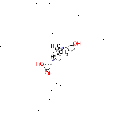 C[C@H](/C=C/c1cccc(O)c1)[C@H]1CC[C@H]2/C(=C/C=C3C[C@@H](O)C[C@H](O)C3)CCC[C@]12C